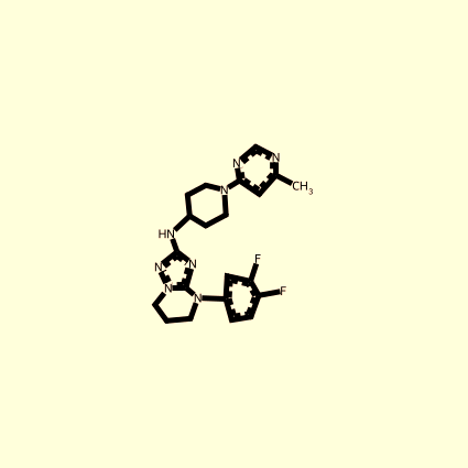 Cc1cc(N2CCC(Nc3nc4n(n3)CCCN4c3ccc(F)c(F)c3)CC2)ncn1